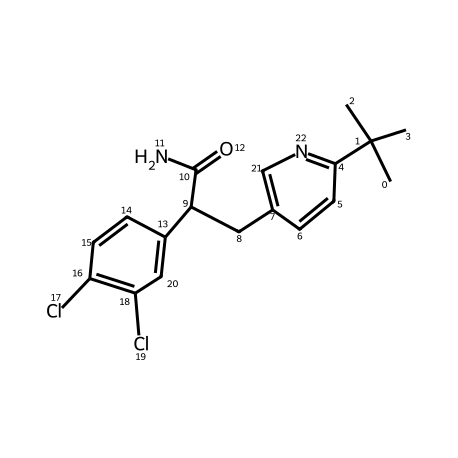 CC(C)(C)c1ccc(CC(C(N)=O)c2ccc(Cl)c(Cl)c2)cn1